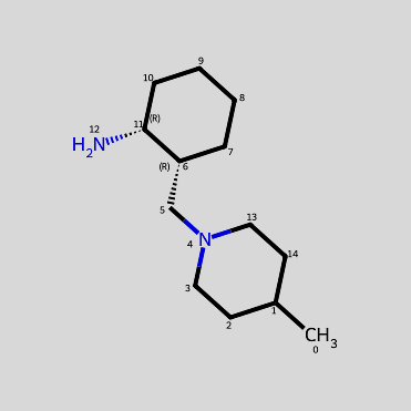 CC1CCN(C[C@H]2CCCC[C@H]2N)CC1